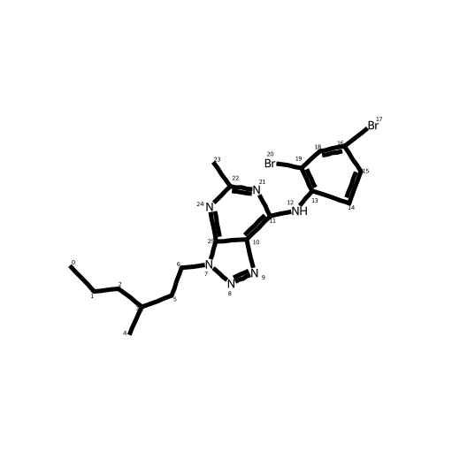 CCCC(C)CCn1nnc2c(Nc3ccc(Br)cc3Br)nc(C)nc21